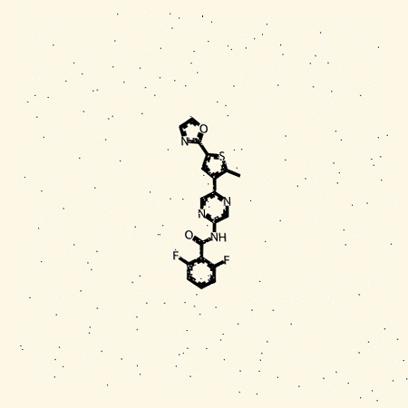 Cc1sc(-c2ncco2)cc1-c1cnc(NC(=O)c2c(F)cccc2F)cn1